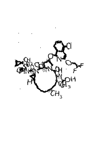 C[C@@H]1CCC=C[C@@H]2C[C@@]2(C(=O)NS(=O)(=O)C2(C)CC2)NC(=O)[C@@H]2C[C@@H](Oc3nc(OCC(F)F)cc4c(Cl)cccc34)CN2C(=O)[C@@H](NC(=O)O)[C@H](C)C1